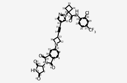 O=C1CC(N2C(=O)c3ccc(N4CC(C#Cc5cnn(C6(C(=O)Nc7ccc(C(F)(F)F)cc7Cl)CCC6)c5)C4)cc3C2=O)C(=O)N1